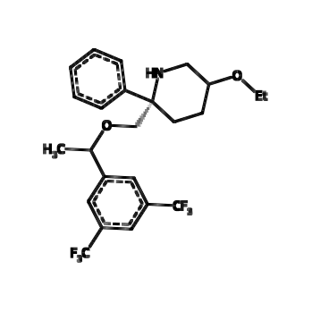 CCOC1CC[C@@](COC(C)c2cc(C(F)(F)F)cc(C(F)(F)F)c2)(c2ccccc2)NC1